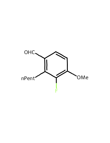 CCCCCc1c(C=O)ccc(OC)c1F